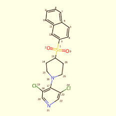 O=S(=O)(c1ccc2ccccc2c1)C1CCN(c2c(Cl)cncc2Cl)CC1